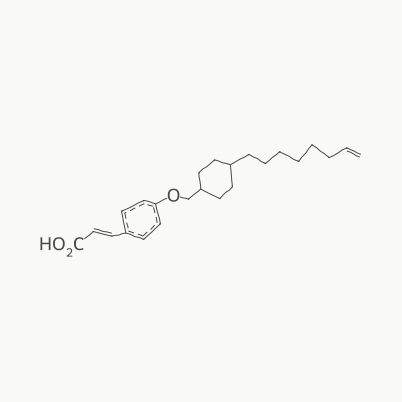 C=CCCCCCCC1CCC(COc2ccc(C=CC(=O)O)cc2)CC1